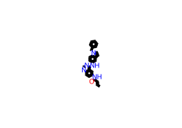 CC=CC(=O)Nc1ccc2ncnc(Nc3ccc4c(ccn4Cc4ccccc4)c3)c2c1